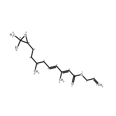 C=CCOC(=O)/C=C(C)/C=C/CC(C)CCC1OC1(C)CC